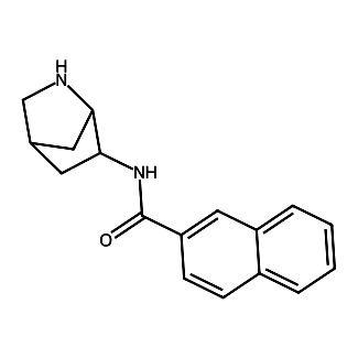 O=C(NC1CC2CNC1C2)c1ccc2ccccc2c1